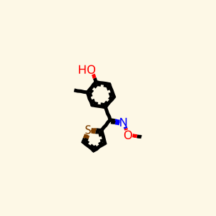 CON=C(c1ccc(O)c(C)c1)c1cccs1